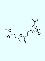 C=C(I)CC[C@@H](CC[C@@H]1O[C@@H](CCC(OC)OC)CC1=C)OS(C)(=O)=O